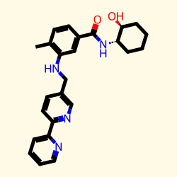 Cc1ccc(C(=O)N[C@H]2CCCC[C@@H]2O)cc1NCc1ccc(-c2ccccn2)nc1